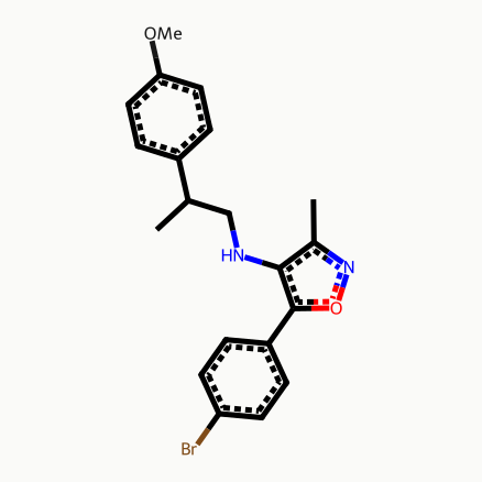 COc1ccc(C(C)CNc2c(C)noc2-c2ccc(Br)cc2)cc1